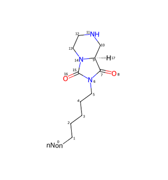 CCCCCCCCCCCCCCN1C(=O)[C@@H]2CNCCN2C1=O